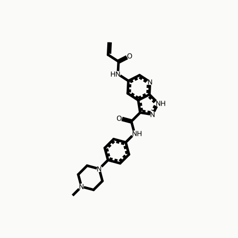 C=CC(=O)Nc1cnc2[nH]nc(C(=O)Nc3ccc(N4CCN(C)CC4)cc3)c2c1